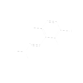 CC(C)(C)[S+]([O-])N=Cc1c(F)ccc(Cl)c1F